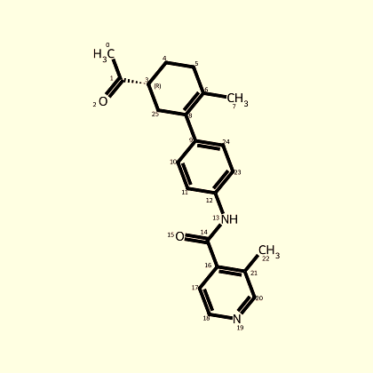 CC(=O)[C@@H]1CCC(C)=C(c2ccc(NC(=O)c3ccncc3C)cc2)C1